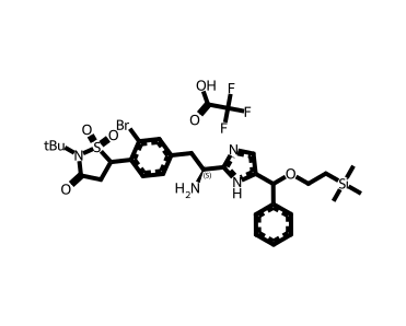 CC(C)(C)N1C(=O)CC(c2ccc(C[C@H](N)c3ncc(C(OCC[Si](C)(C)C)c4ccccc4)[nH]3)cc2Br)S1(=O)=O.O=C(O)C(F)(F)F